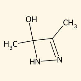 CC1=NNC1(C)O